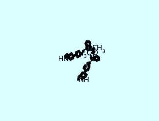 CC(C(=O)C(C)N1C[C@@H](CCN2CC=C(c3ccc4[nH]ccc4c3)CC2)c2ccccc21)N1C[C@@H](CCN2CC=C(c3ccc4[nH]ccc4c3)CC2)c2ccccc21